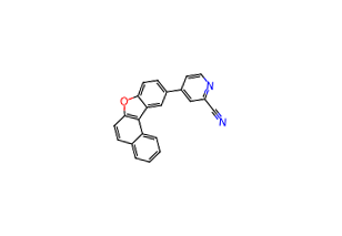 N#Cc1cc(-c2ccc3oc4ccc5ccccc5c4c3c2)ccn1